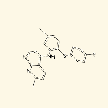 Cc1ccc(Sc2ccc(F)cc2)c(Nc2ccnc3nc(C)ccc23)c1